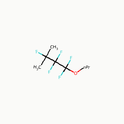 CCCOC(F)(F)C(F)(F)C(C)(C)F